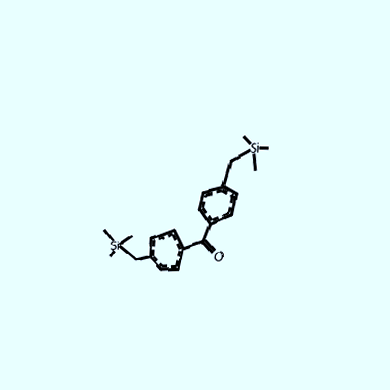 C[Si](C)(C)Cc1ccc(C(=O)c2ccc(C[Si](C)(C)C)cc2)cc1